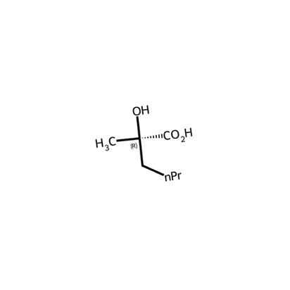 CCCC[C@@](C)(O)C(=O)O